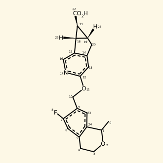 CC1OCCc2cc(F)c(COc3cc4c(cn3)[C@H]3[C@@H](C4)[C@@H]3C(=O)O)cc21